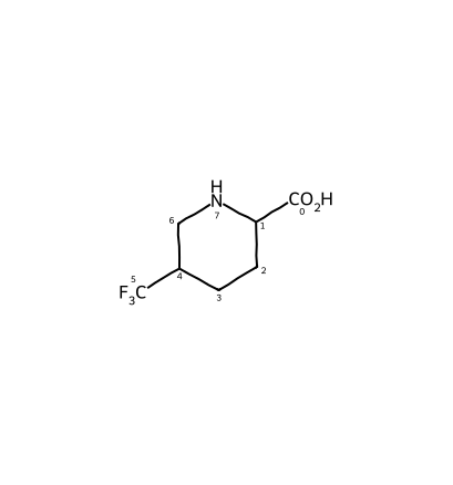 O=C(O)C1CCC(C(F)(F)F)CN1